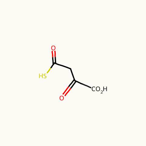 O=C(S)CC(=O)C(=O)O